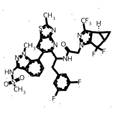 Cc1nc2nc(C(Cc3cc(F)cc(F)c3)NC(=O)Cn3nc(C(F)(F)F)c4c3C(F)(F)C3C[C@H]43)c(-c3cccc4c(NS(C)(=O)=O)nn(C)c34)cc2s1